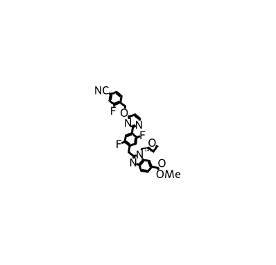 COC(=O)c1ccc2nc(Cc3cc(F)c(-c4nccc(OCc5ccc(C#N)cc5F)n4)cc3F)n(C[C@@H]3CCO3)c2c1